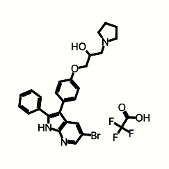 O=C(O)C(F)(F)F.OC(COc1ccc(-c2c(-c3ccccc3)[nH]c3ncc(Br)cc23)cc1)CN1CCCC1